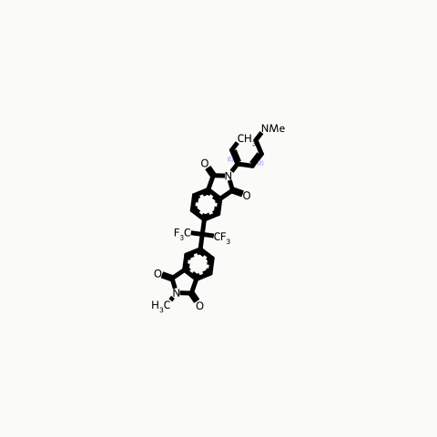 C/C=C(\C=C/CNC)N1C(=O)c2ccc(C(c3ccc4c(c3)C(=O)N(C)C4=O)(C(F)(F)F)C(F)(F)F)cc2C1=O